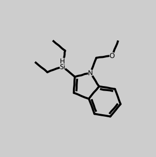 CC[SiH](CC)c1cc2ccccc2n1COC